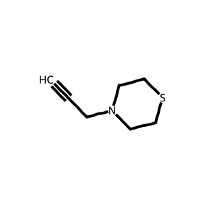 C#CCN1CCSCC1